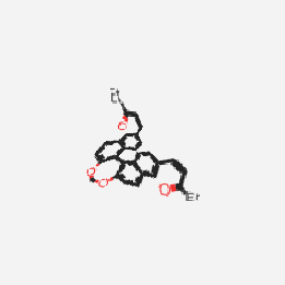 CCC(=O)/C=C\c1ccc2c3c(ccc2c1)OCOc1ccc2cc(/C=C\C(=O)CC)ccc2c1-3